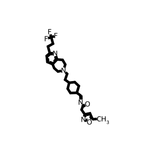 Cc1cc(CC(=O)/N=C/C2CCC(CCN3CCc4ccc(CCC(F)(F)F)nc4CC3)CC2)no1